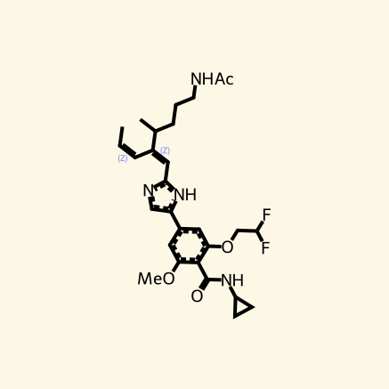 C/C=C\C(=C/c1ncc(-c2cc(OC)c(C(=O)NC3CC3)c(OCC(F)F)c2)[nH]1)C(C)CCCNC(C)=O